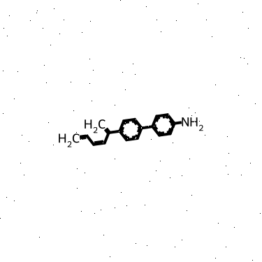 C=C/C=C\C(=C)c1ccc(-c2ccc(N)cc2)cc1